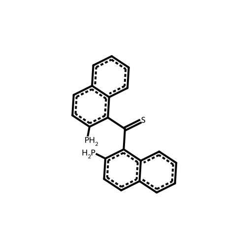 Pc1ccc2ccccc2c1C(=S)c1c(P)ccc2ccccc12